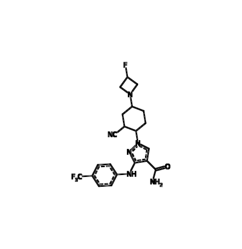 N#CC1CC(N2CC(F)C2)CCC1n1cc(C(N)=O)c(Nc2ccc(C(F)(F)F)cc2)n1